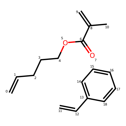 C=CCCCOC(=O)C(=C)C.C=Cc1ccccc1